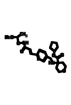 CC(C)COC(C)ONC(=O)C=Cc1ccc(CNC2(C(=O)OC3CCCC3)CCOCC2)cn1